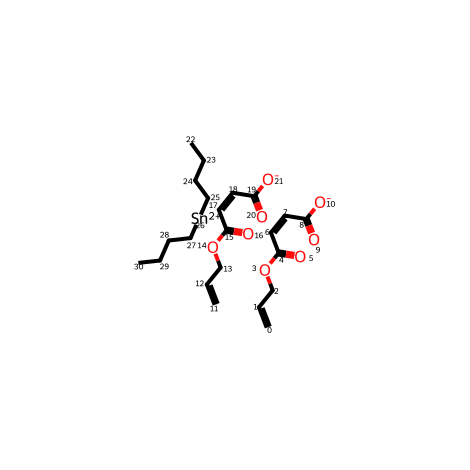 C=CCOC(=O)/C=C\C(=O)[O-].C=CCOC(=O)/C=C\C(=O)[O-].CCC[CH2][Sn+2][CH2]CCC